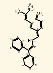 C=C/C=C\C(C=C/C=C(/C)C=C)=C\N/C=C(/C1=CCCC=C1)c1ccccc1